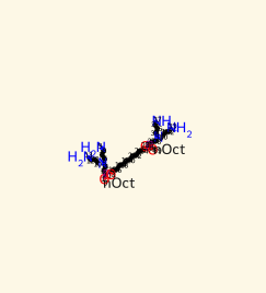 CCCCCCCCOP(CCN(CCCN)CCCN)OCCCCCCCCCCOP(CCN(CCCN)CCCN)OCCCCCCCC